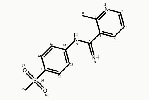 Cc1ncccc1C(=N)Nc1ccc(S(C)(=O)=O)cc1